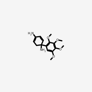 COc1cc(C2(N)C=CC(N)=CC2)c(OC)c(OC)c1OC